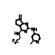 Cc1cc(Nc2nc(NCC(F)(F)F)c3cc[nH]c3n2)ccn1